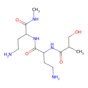 CNC(=O)C(CCN)NC(=O)C(CCN)NC(=O)C(C)CO